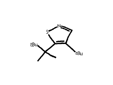 CC(C)(C)c1cnsc1C(C)(C)C(C)(C)C